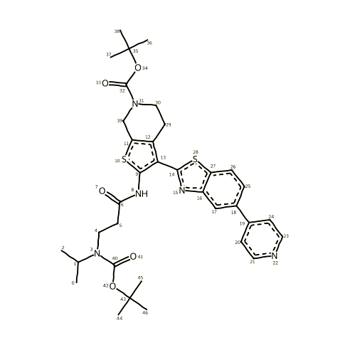 CC(C)N(CCC(=O)Nc1sc2c(c1-c1nc3cc(-c4ccncc4)ccc3s1)CCN(C(=O)OC(C)(C)C)C2)C(=O)OC(C)(C)C